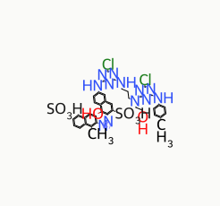 Cc1ccc(Nc2nc(Cl)nc(N(CCO)CCCNc3nc(Cl)nc(Nc4ccc5c(O)c(/N=N\c6ccc7c(S(=O)(=O)O)cccc7c6C)c(S(=O)(=O)O)cc5c4)n3)n2)cc1